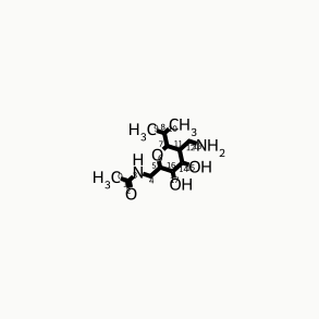 CC(=O)NCC1OC(C(C)C)C(CN)C(O)C1O